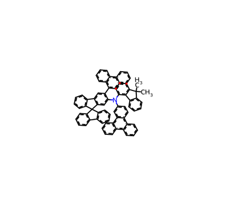 CC1(C)c2ccccc2-c2c(N(c3ccc4c5ccccc5c5ccccc5c4c3)c3cc4c(cc3-c3cc5ccccc5c5ccccc35)-c3ccccc3C43c4ccccc4-c4ccccc43)cccc21